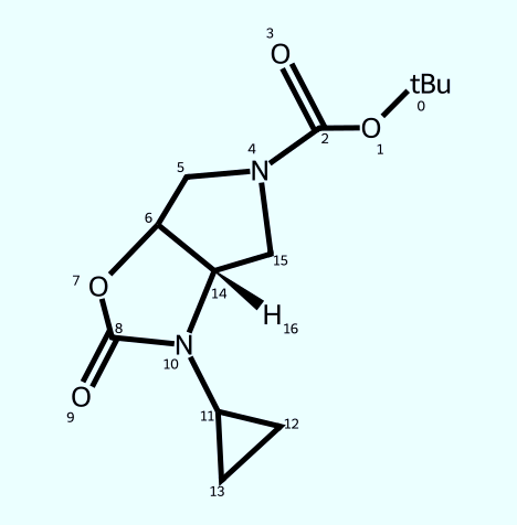 CC(C)(C)OC(=O)N1CC2OC(=O)N(C3CC3)[C@H]2C1